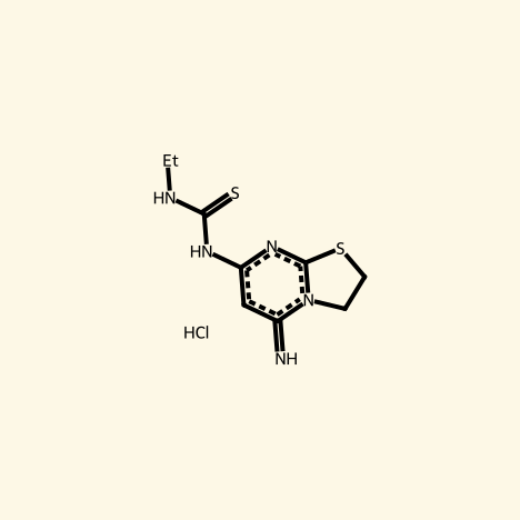 CCNC(=S)Nc1cc(=N)n2c(n1)SCC2.Cl